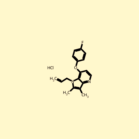 C=CCn1c(C)c(C)c2nccc(Oc3ccc(F)cc3)c21.Cl